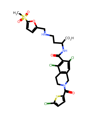 CS(=O)(=O)c1ccc(CNCCC(NC(=O)c2c(Cl)cc3c(c2Cl)CCN(C(=O)c2ccc(Cl)s2)C3)C(=O)O)o1